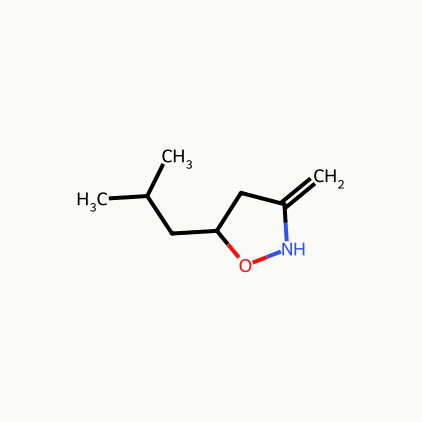 C=C1CC(CC(C)C)ON1